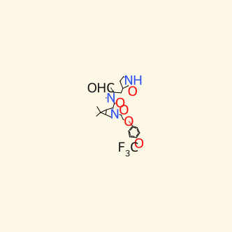 CN(C(=O)C1C2C(CN1C(=O)COc1ccc(OC(F)(F)F)cc1)C2(C)C)C(C=O)CC1CCNC1=O